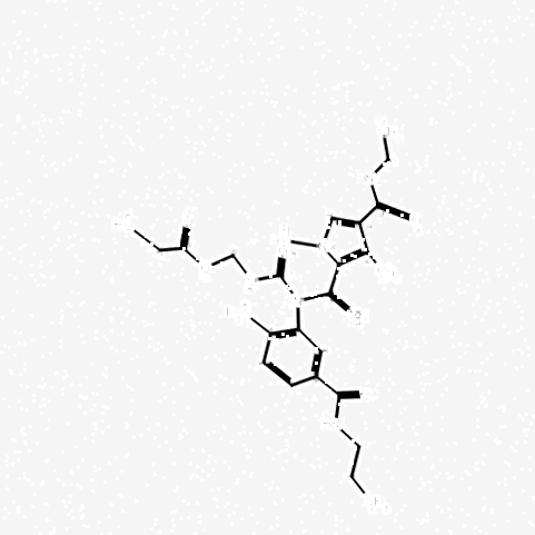 CCCNC(=O)c1ccc(C)c(N(C(=N)c2c(C)c(C(=O)NCC)cn2C)C(=O)OCOC(=O)CO)c1